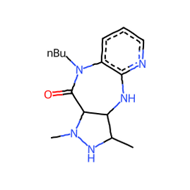 CCCCN1C(=O)C2C(Nc3ncccc31)C(C)NN2C